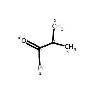 CC(C)[C](=O)[Pt]